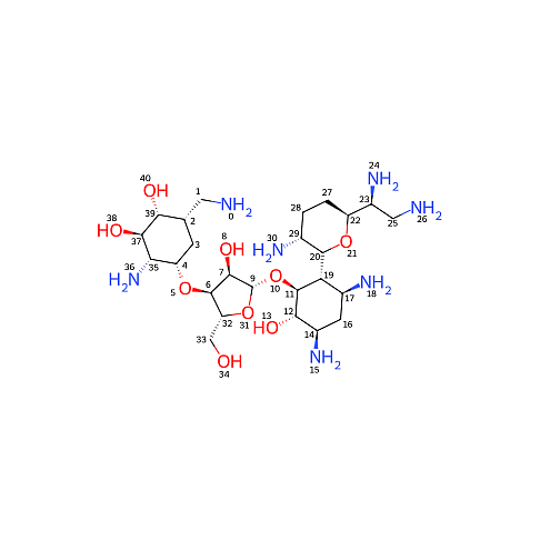 NC[C@@H]1C[C@H](O[C@H]2[C@@H](O)[C@H](O[C@@H]3[C@@H](O)[C@H](N)C[C@H](N)[C@H]3C3O[C@H]([C@@H](N)CN)CC[C@H]3N)O[C@@H]2CO)[C@H](N)[C@@H](O)[C@@H]1O